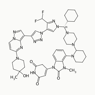 Cn1c(=O)n(C2=CC(=O)NC(=O)C2)c2cccc(N3CCCCC3N3CCN([C@@H](C4CCCCC4)n4cc(-n5cc(-c6cnn7ccc(N8CCC(C)(O)CC8)nc67)nn5)c(C(F)F)n4)CC3)c21